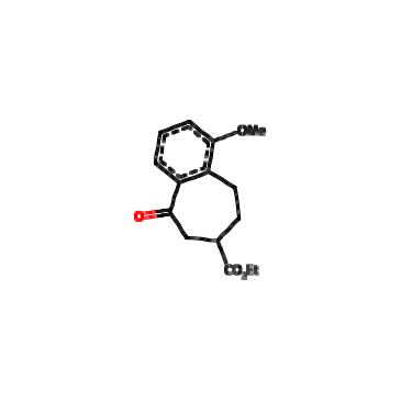 CCOC(=O)C1CCc2c(OC)cccc2C(=O)C1